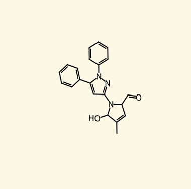 CC1=CC(C=O)N(c2cc(-c3ccccc3)n(-c3ccccc3)n2)C1O